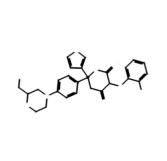 CCC1CN(c2ccc(C3(c4ccsc4)CC(=O)C(Sc4ccccc4Cl)C(=O)N3)cc2)CCO1